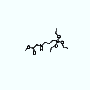 CCO[Si](CCCNCC(=O)OC)(OCC)OCC